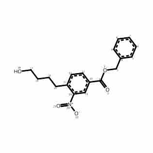 O=C(OCc1ccccc1)c1ccc(CCCCO)c([N+](=O)[O-])c1